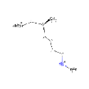 CCCCCCCC[C@@H](C)CCCCNCCC